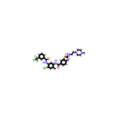 Cc1cc(Br)c(NC(=O)c2cccc(C(F)(F)F)c2)cc1NC(=O)c1ccc2nc(NCCN3CCN(C)CC3)sc2c1